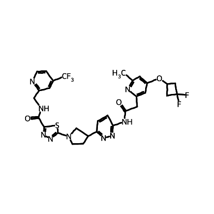 Cc1cc(OC2CC(F)(F)C2)cc(CC(=O)Nc2ccc(C3CCN(c4nnc(C(=O)NCc5cc(C(F)(F)F)ccn5)s4)C3)nn2)n1